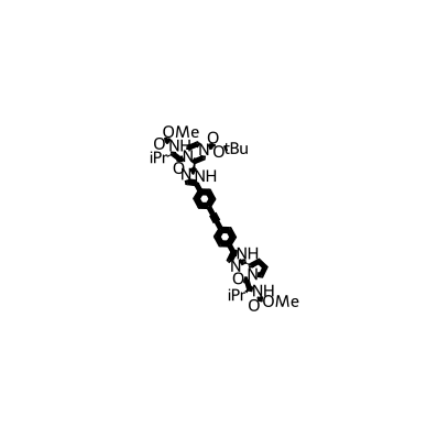 COC(=O)N[C@H](C(=O)N1CCC[C@H]1c1ncc(-c2ccc(C#Cc3ccc(-c4cnc([C@@H]5CN(C(=O)OC(C)(C)C)CCN5C(=O)[C@@H](NC(=O)OC)C(C)C)[nH]4)cc3)cc2)[nH]1)C(C)C